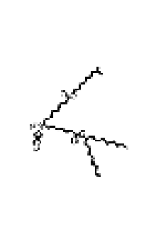 CCCCCCCCC(CCCCCCCC)OC(=O)CCCCCCC(CCCCCCC(=O)OCCCCCCCC(C)C)NC1CC2(COC2)C1